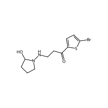 O=C(CCNN1CCCC1O)c1ccc(Br)s1